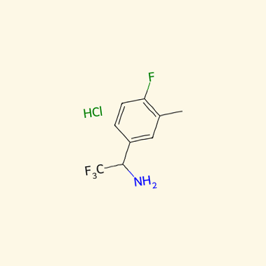 Cc1cc(C(N)C(F)(F)F)ccc1F.Cl